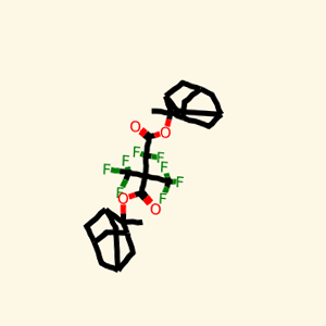 CC1(OC(=O)C(F)(F)C(C(=O)OC2(C)C3CC4CC(C3)CC2C4)(C(F)(F)F)C(F)(F)F)C2CC3CC(C2)CC1C3